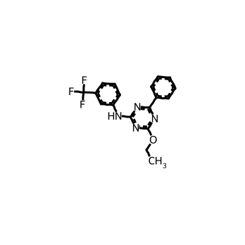 CCOc1nc(Nc2cccc(C(F)(F)F)c2)nc(-c2ccccc2)n1